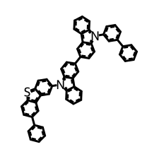 c1ccc(-c2cccc(-n3c4ccccc4c4cc(-c5ccc6c(c5)c5ccccc5n6-c5ccc6sc7ccc(-c8ccccc8)cc7c6c5)ccc43)c2)cc1